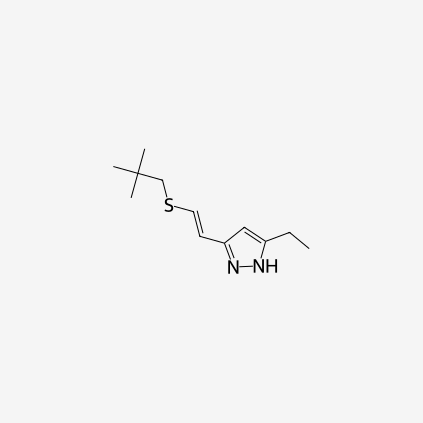 CCc1cc(C=CSCC(C)(C)C)n[nH]1